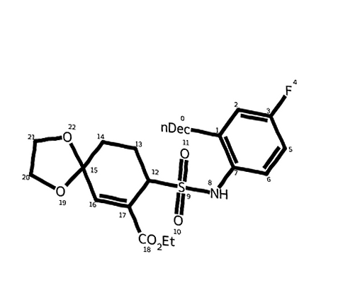 CCCCCCCCCCc1cc(F)ccc1NS(=O)(=O)C1CCC2(C=C1C(=O)OCC)OCCO2